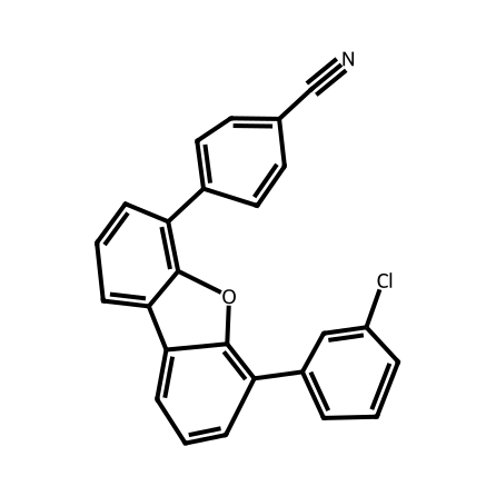 N#Cc1ccc(-c2cccc3c2oc2c(-c4cccc(Cl)c4)cccc23)cc1